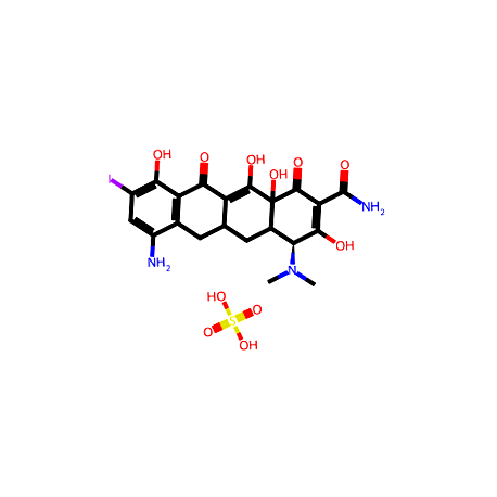 CN(C)[C@@H]1C(O)=C(C(N)=O)C(=O)C2(O)C(O)=C3C(=O)c4c(O)c(I)cc(N)c4CC3CC12.O=S(=O)(O)O